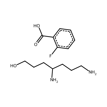 NCCCC(N)CCCO.O=C(O)c1ccccc1F